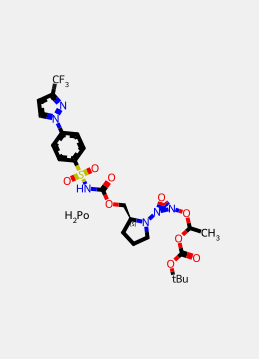 CC(OC(=O)OC(C)(C)C)On1on1N1CCC[C@H]1COC(=O)NS(=O)(=O)c1ccc(-n2ccc(C(F)(F)F)n2)cc1.[PoH2]